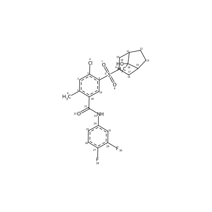 Cc1cc(Cl)c(S(=O)(=O)C2CC3CCC(C2)C3(C)O)cc1C(=O)Nc1ccc(F)c(F)c1